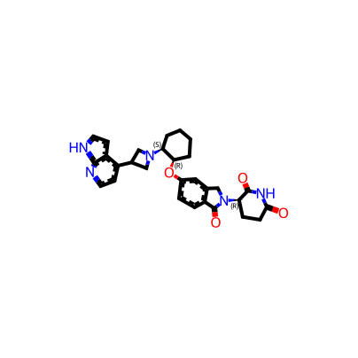 O=C1CC[C@@H](N2Cc3cc(O[C@@H]4CCCC[C@@H]4N4CC(c5ccnc6[nH]ccc56)C4)ccc3C2=O)C(=O)N1